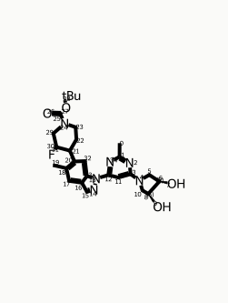 Cc1nc(N2C[C@@H](O)[C@@H](O)C2)cc(-n2ncc3cc(C)c(C4CCN(C(=O)OC(C)(C)C)CC4F)cc32)n1